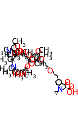 CC[C@H]1OC(=O)[C@H](C)[C@@H](O[C@H]2C[C@@](C)(OC)[C@@H](OCCCCOCC=Cc3ccc4c(c3)c(=O)c(C(=O)O)cn4C3CC3)[C@H](C)O2)[C@H](C)[C@@H](O[C@@H]2O[C@H](C)C[C@H](N(C)C)[C@H]2O)[C@](C)(O)C[C@@H](C)CN(C)[C@H](C)[C@@H](O)[C@]1(C)O